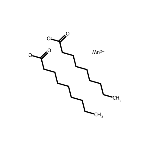 CCCCCCCCC(=O)[O-].CCCCCCCCC(=O)[O-].[Mn+2]